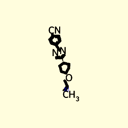 C/C=C/CO[C@H]1CC[C@H](c2cnc(-c3ccc(C#N)cc3)nc2)CC1